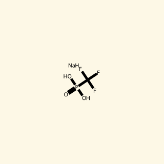 O=P(O)(O)C(F)(F)F.[NaH]